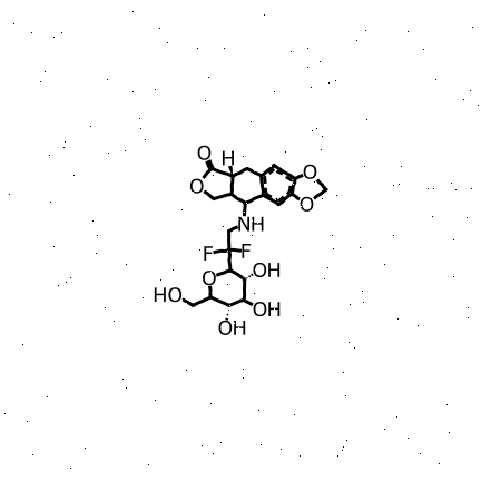 O=C1OCC2C(NCC(F)(F)C3OC(CO)[C@@H](O)C(O)[C@H]3O)c3cc4c(cc3C[C@@H]12)OCO4